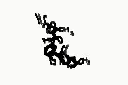 Cc1cnc2nc(-c3cc(NC(=O)c4nc(C)oc4C)ccc3Cl)[nH]c2c1